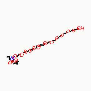 CCCN(OCCOCCOCCOCCOCCOCCOCCOCCOCCOCCOCCOCCO)C(=O)OC(C)(C)C